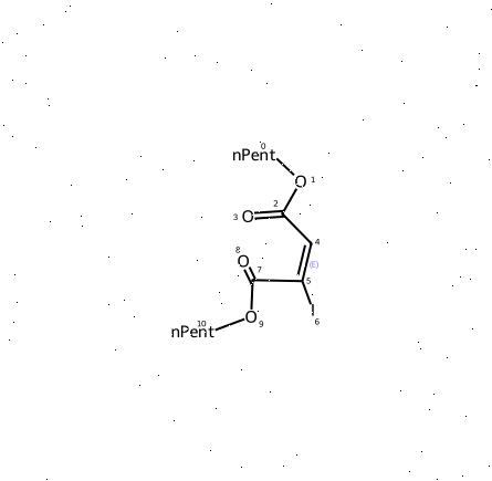 CCCCCOC(=O)/C=C(/I)C(=O)OCCCCC